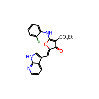 CCOC(=O)C1=C(Nc2ccccc2F)O/C(=C\c2c[nH]c3ncccc23)C1=O